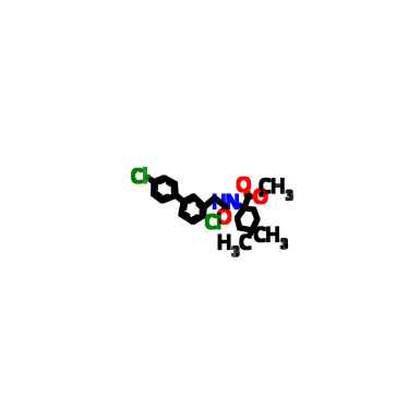 COC(=O)C1(NC(=O)Cc2cc(-c3ccc(Cl)cc3)ccc2Cl)CCC(C)(C)CC1